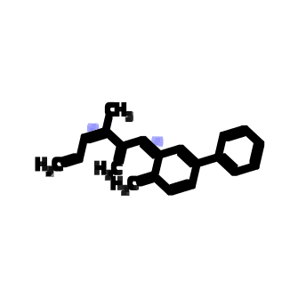 C=C/C=C(/C)C(=C)/C=c1/cc(-c2ccccc2)ccc1=C